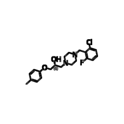 Cc1ccc(OC[C@@H](O)CN2CCN(Cc3c(F)cccc3Cl)CC2)cc1